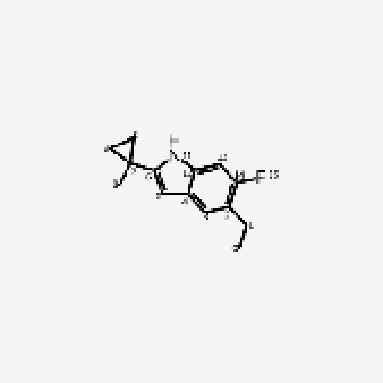 CCc1cc2cc(C3(C)CC3)[nH]c2cc1F